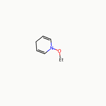 CCON1C=CCC=C1